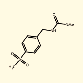 CNC(=O)NCc1ccc(S(C)(=O)=O)cc1